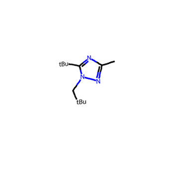 Cc1nc(C(C)(C)C)n(CC(C)(C)C)n1